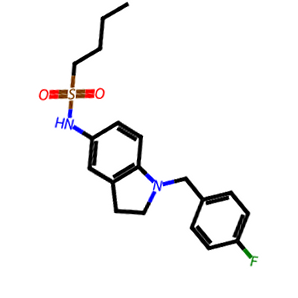 CCCCS(=O)(=O)Nc1ccc2c(c1)CCN2Cc1ccc(F)cc1